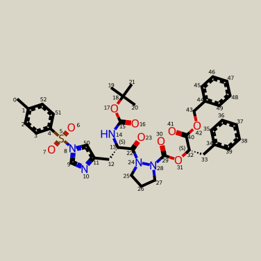 Cc1ccc(S(=O)(=O)n2cnc(C[C@H](NC(=O)OC(C)(C)C)C(=O)N3CCCN3C(=O)O[C@@H](Cc3ccccc3)C(=O)OCc3ccccc3)c2)cc1